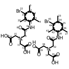 Cc1cc(C)c(NC(=O)CN(CC(=O)O)CC(=O)O)c(C)c1Br.Cc1cc(C)c(NC(=O)CN(CC(=O)O)CC(=O)O)c(C)c1Br